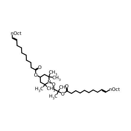 CCCCCCCCC=CCCCCCCCC(=O)OC1CC(C)(C)N(OCC(C)(C)OC(=O)CCCCCCCC=CCCCCCCCC)C(C)(C)C1